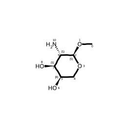 CO[C@H]1OC[C@@H](O)[C@@H](O)[C@@H]1N